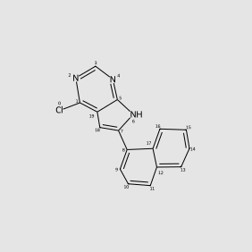 Clc1ncnc2[nH]c(-c3cccc4ccccc34)cc12